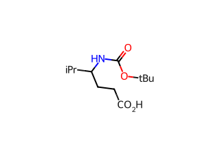 CC(C)C(CCC(=O)O)NC(=O)OC(C)(C)C